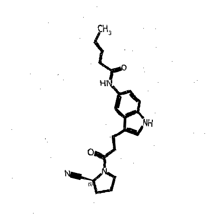 CCCCC(=O)Nc1ccc2[nH]cc(CCC(=O)N3CCC[C@H]3C#N)c2c1